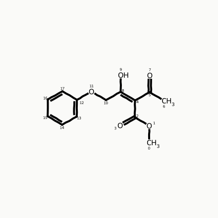 COC(=O)/C(C(C)=O)=C(/O)COc1ccccc1